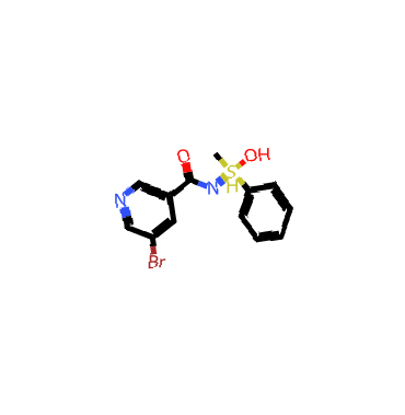 C[SH](O)(=NC(=O)c1cncc(Br)c1)c1ccccc1